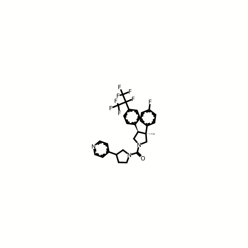 C[C@]1(c2ccc(F)cc2)CN(C(=O)N2CCC(c3ccncc3)C2)C[C@H]1c1ccc(C(F)(C(F)(F)F)C(F)(F)F)cc1